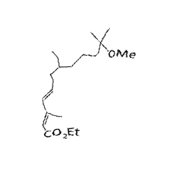 CCOC(=O)/C=C(C)/C=C/CC(C)CCCC(C)(C)OC